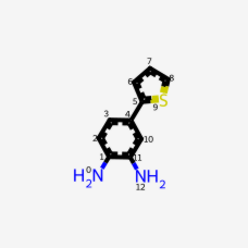 Nc1ccc(-c2cccs2)cc1N